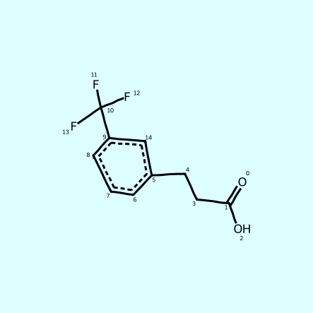 O=C(O)CCc1cc[c]c(C(F)(F)F)c1